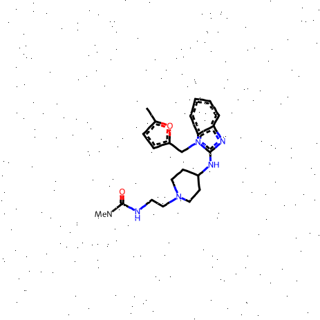 CNC(=O)NCCN1CCC(Nc2nc3ccccc3n2Cc2ccc(C)o2)CC1